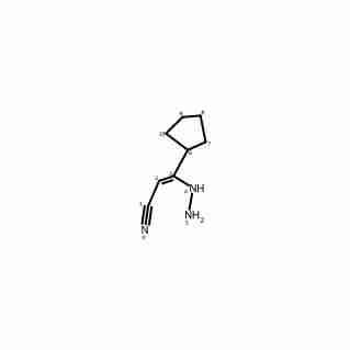 N#C/C=C(\NN)C1CCCC1